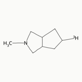 [3H]C1CC2CN(C)CC2C1